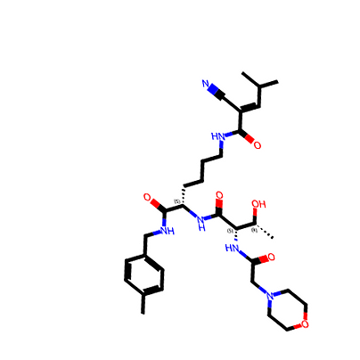 Cc1ccc(CNC(=O)[C@H](CCCCNC(=O)C(C#N)=CC(C)C)NC(=O)[C@@H](NC(=O)CN2CCOCC2)[C@@H](C)O)cc1